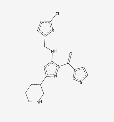 O=C(c1ccsc1)n1nc(C2CCCNC2)cc1NCc1ccc(Cl)s1